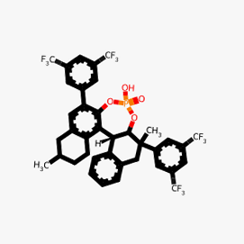 CC1CCc2c(cc(-c3cc(C(F)(F)F)cc(C(F)(F)F)c3)c3c2[C@H]2c4ccccc4CC(C)(c4cc(C(F)(F)F)cc(C(F)(F)F)c4)C2OP(=O)(O)O3)C1